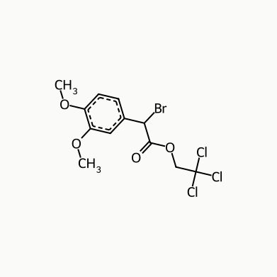 COc1ccc(C(Br)C(=O)OCC(Cl)(Cl)Cl)cc1OC